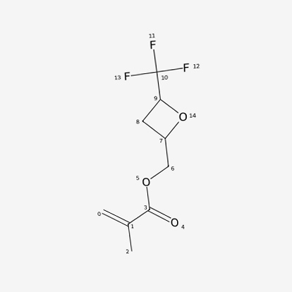 C=C(C)C(=O)OCC1CC(C(F)(F)F)O1